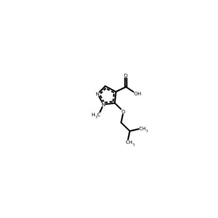 CC(C)COc1c(C(=O)O)cnn1C